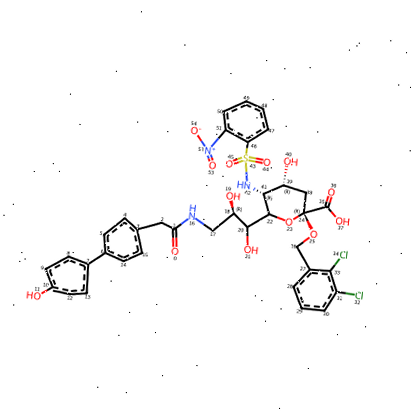 O=C(Cc1ccc(-c2ccc(O)cc2)cc1)NC[C@@H](O)C(O)C1O[C@@](OCc2cccc(Cl)c2Cl)(C(=O)O)C[C@@H](O)[C@H]1NS(=O)(=O)c1ccccc1[N+](=O)[O-]